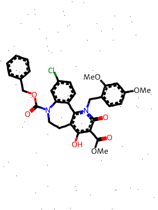 COC(=O)c1c(O)c2c(n(Cc3ccc(OC)cc3OC)c1=O)-c1ccc(Cl)cc1N(C(=O)OCc1ccccc1)CC2